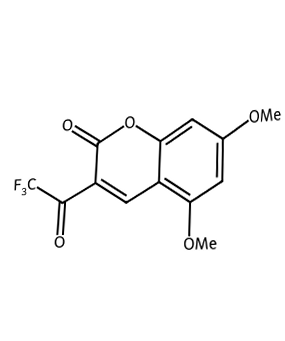 COc1cc(OC)c2cc(C(=O)C(F)(F)F)c(=O)oc2c1